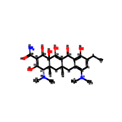 CC(C)Cc1cc(N(C)C)c2c(c1O)C(=O)C1=C(O)[C@@]3(O)C(=O)C(C(N)=O)=C(O)[C@@H](N(C)C)[C@H]3C[C@H]1C2